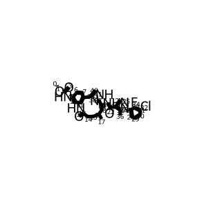 COC(=O)Nc1ccc2c(c1)NC(=O)CCC(C)C[C@H](NC(=O)c1cnn(-c3cccc(Cl)c3F)c1C)c1nc-2c[nH]1